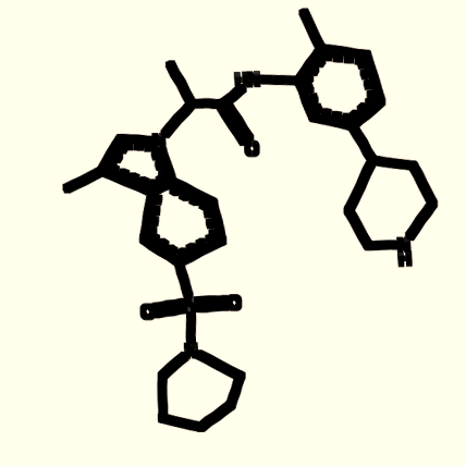 Cc1ccc(C2CCNCC2)cc1NC(=O)C(C)n1cc(C)c2cc(S(=O)(=O)N3CCCCC3)ccc21